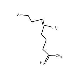 C=C(C)CCCC(C)=CCCC(C)=O